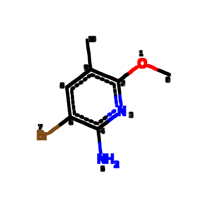 COc1nc(N)c(Br)cc1C